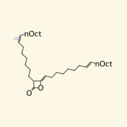 CCCCCCCCC=CCCCCCCC=C1OC(=O)C1CCCCCC/C=C\CCCCCCCC